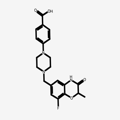 CC1Oc2c(F)cc(CN3CCN(c4ccc(C(=O)O)cc4)CC3)cc2NC1=O